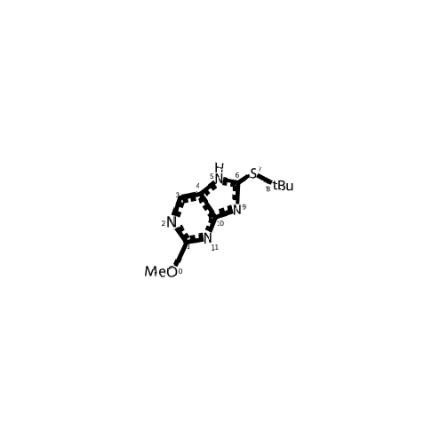 COc1ncc2[nH]c(SC(C)(C)C)nc2n1